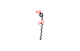 C=CCCCCCCCCC(=O)OCCc1ccc(O)cc1